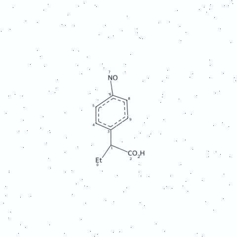 CCC(C(=O)O)c1ccc(N=O)cc1